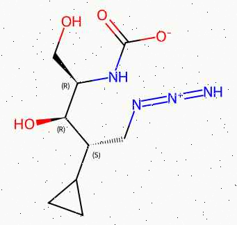 N=[N+]=NC[C@H](C1CC1)[C@@H](O)[C@@H](CO)NC(=O)[O-]